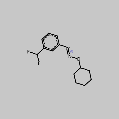 FC(F)c1cccc(/[C]=N/OC2CCCCC2)c1